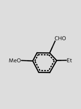 CCc1ccc(OC)cc1C=O